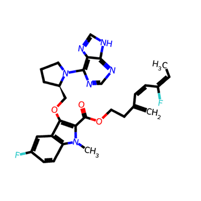 C=C(/C=C\C(F)=C/C)CCOC(=O)c1c(OC[C@H]2CCCN2c2ncnc3[nH]cnc23)c2cc(F)ccc2n1C